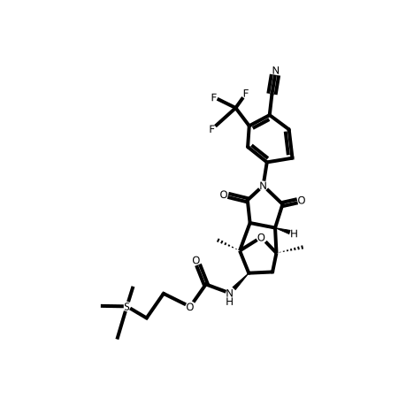 C[C@]12C[C@@H](NC(=O)OCCS(C)(C)C)[C@](C)(O1)C1C(=O)N(c3ccc(C#N)c(C(F)(F)F)c3)C(=O)[C@@H]12